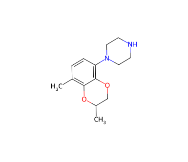 Cc1ccc(N2CCNCC2)c2c1OC(C)CO2